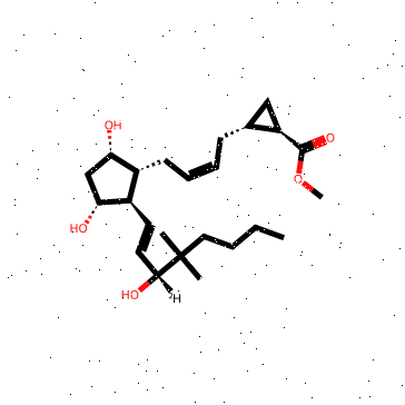 [2H][C@@](O)(/C=C/[C@@H]1[C@@H](C/C=C\C[C@@H]2C[C@H]2C(=O)OC)[C@@H](O)C[C@H]1O)C(C)(C)CCCC